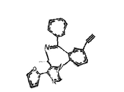 C#Cc1ccc2c(c1)C(c1ccccc1)=N[C@@H](C)c1c(-c3ccco3)ncn1-2